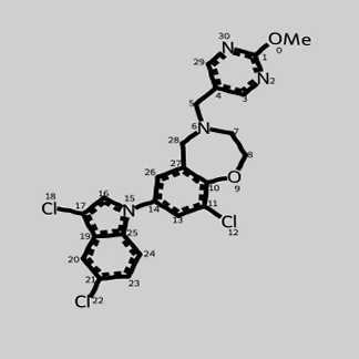 COc1ncc(CN2CCOc3c(Cl)cc(-n4cc(Cl)c5cc(Cl)ccc54)cc3C2)cn1